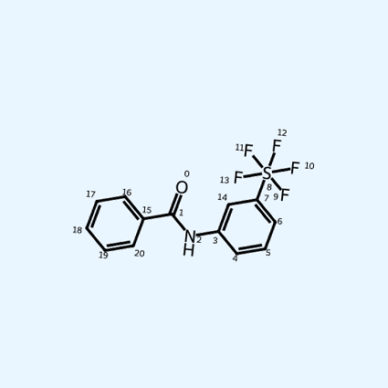 O=C(Nc1cccc(S(F)(F)(F)(F)F)c1)c1ccccc1